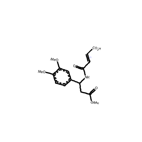 COC(=O)CC(NC(=O)/C=C/C(=O)O)c1ccc(OC)c(OC)c1